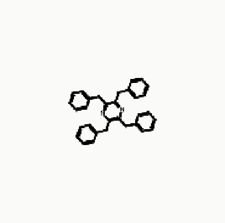 c1ccc(Cc2nc(Cc3ccccc3)c(Cc3ccccc3)nc2Cc2ccccc2)cc1